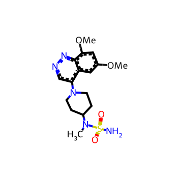 COc1cc(OC)c2nncc(N3CCC(N(C)S(N)(=O)=O)CC3)c2c1